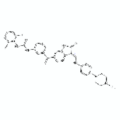 CN1CCN(c2ccc(N/C=C3/C(=O)Nc4cc(C(=O)c5cccc(NC(=O)Nc6c(F)cccc6F)c5)ccc43)cc2)CC1